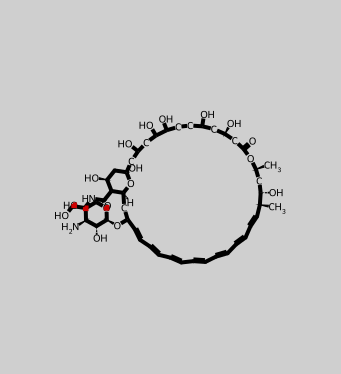 C[C@H]1C[C@H](O)[C@@H](C)/C=C/C=C/C=C/C=C/C=C/C=C/C=C/C(O[C@@H]2OC[C@@H](O)[C@H](N)[C@H]2O)C[C@@H]2OC(O)(CC(O)CC(O)C(O)CCC(O)C[C@@H](O)CC(=O)O1)C[C@H](O)C2C(=O)NCCO